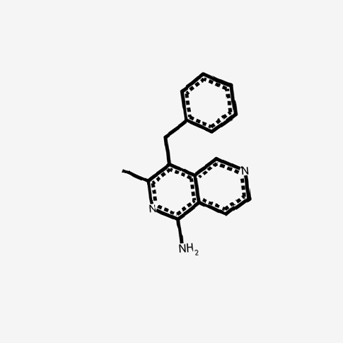 Cc1nc(N)c2ccncc2c1Cc1ccccc1